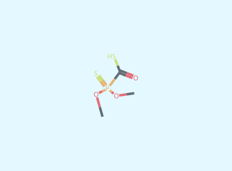 COP(=S)(OC)C(=O)S